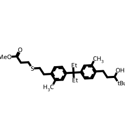 CCC(CC)(c1ccc(CCSCCC(=O)OC)c(C)c1)c1ccc(CCC(O)C(C)(C)C)c(C)c1